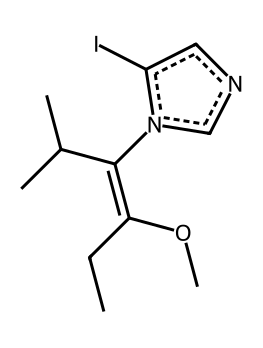 CC/C(OC)=C(\C(C)C)n1cncc1I